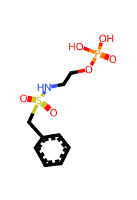 O=P(O)(O)OCCNS(=O)(=O)Cc1ccccc1